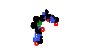 CCc1nc2cc(-c3cccc(-c4cccc(-c5ccc(CNC[C@H]6CCC(=O)N6)c(OC)n5)c4Cl)c3Cl)ccn2c(=O)c1CNC[C@@H]1CCC(=O)N1